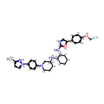 Cc1ccn(-c2ccc(N3CCC[C@H](N[C@@H]4CCCC[C@H]4Nc4ncc(-c5ccc(OCF)cc5)o4)C3)cc2)n1